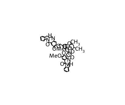 COc1cc2c(cc1OCc1cc(COc3cc4c(cc3OC)C(=O)N3c5ccccc5C[C@H]3C=N4)cc(OC(C)(C)CC(C)C(=O)ON3C(=O)CCC3=O)c1)N=C[C@@H]1Cc3ccccc3N1C2=O